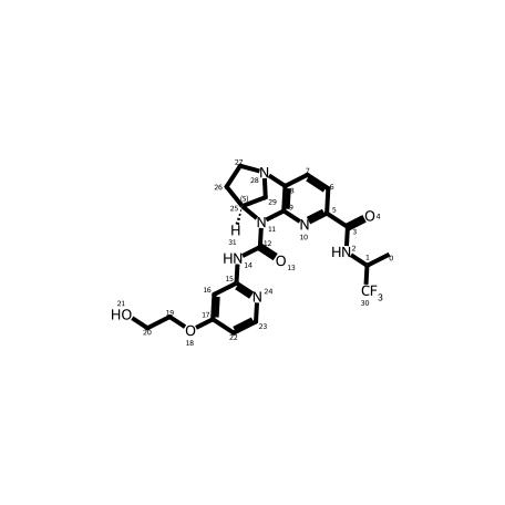 CC(NC(=O)c1ccc2c(n1)N(C(=O)Nc1cc(OCCO)ccn1)[C@H]1CCN2C1)C(F)(F)F